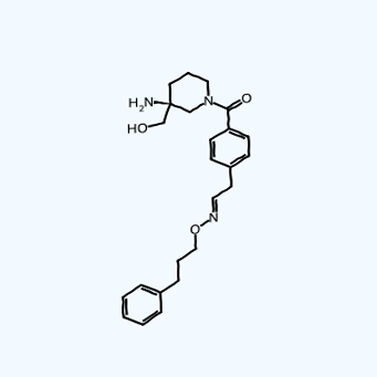 N[C@@]1(CO)CCCN(C(=O)c2ccc(CC=NOCCCc3ccccc3)cc2)C1